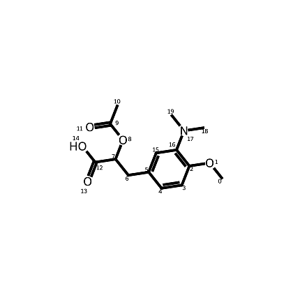 COc1ccc(CC(OC(C)=O)C(=O)O)cc1N(C)C